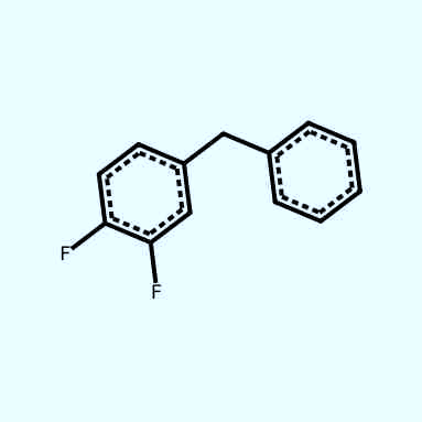 Fc1ccc(Cc2ccccc2)cc1F